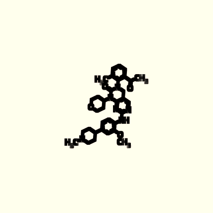 COc1cc(C2CCN(C)CC2)ccc1Nc1ncc2c(n1)N(C1CCOCC1)C(=O)N(c1c(C)cccc1C(C)=O)C2